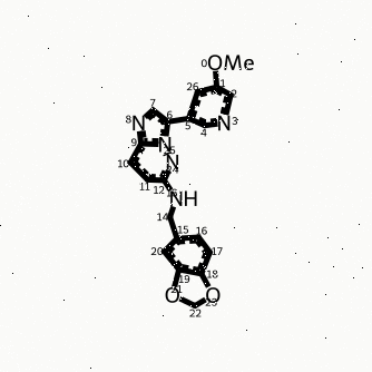 COc1cncc(-c2cnc3ccc(NCc4ccc5c(c4)OCO5)nn23)c1